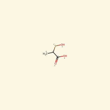 CC(SO)C(=O)O